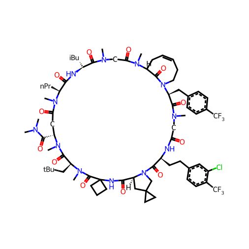 CCC[C@H]1C(=O)N[C@@H]([C@@H](C)CC)C(=O)N(C)CC(=O)N(C)[C@H]2C/C=C\CCN(C2=O)[C@@H](Cc2ccc(C(F)(F)F)cc2)C(=O)N(C)CC(=O)N[C@@H](CCc2ccc(C(F)(F)F)c(Cl)c2)C(=O)N2CC3(CC3)C[C@H]2C(=O)NC2(CCC2)C(=O)N(C)[C@@H](CC(C)(C)C)C(=O)N(C)[C@H](C(=O)N(C)C)CC(=O)N1C